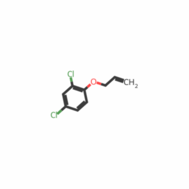 C=CCOc1ccc(Cl)cc1Cl